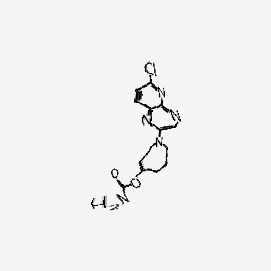 NC(=O)OC1CCCN(c2cnc3nc(Cl)ccc3n2)CC1